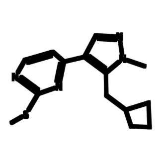 CSc1nccc(-c2cnn(C)c2CC2CCC2)n1